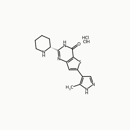 Cc1[nH]ncc1-c1cc2nc([C@H]3CCCCN3)[nH]c(=O)c2s1.Cl.Cl